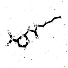 CCCCCNC(=O)Nc1nccc(=S(=O)=O)[nH]1